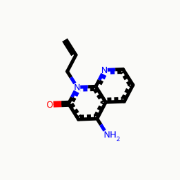 C=CCn1c(=O)cc(N)c2cccnc21